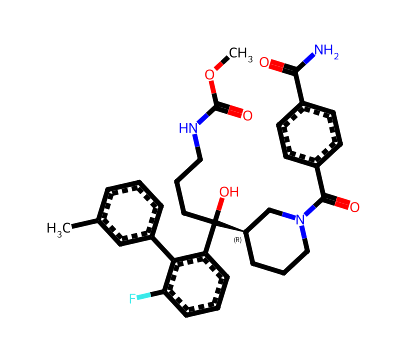 COC(=O)NCCCC(O)(c1cccc(F)c1-c1cccc(C)c1)[C@@H]1CCCN(C(=O)c2ccc(C(N)=O)cc2)C1